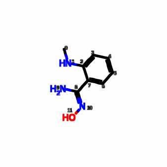 CNc1ccccc1C(N)=NO